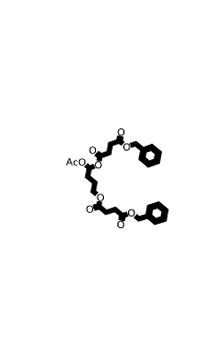 CC(=O)OC(CCCOC(=O)CCC(=O)OCc1ccccc1)OC(=O)CCC(=O)OCc1ccccc1